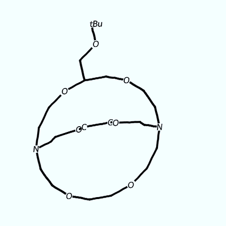 CC(C)(C)OCC1COCCN2CCOCCOCCN(CCOCCOCC2)CCO1